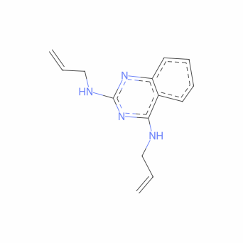 C=CCNc1nc(NCC=C)c2ccccc2n1